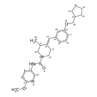 COc1ccc(NC(=O)N2CCC(=Cc3cccc(OCC4CCCC4)c3)C(C)C2)cn1